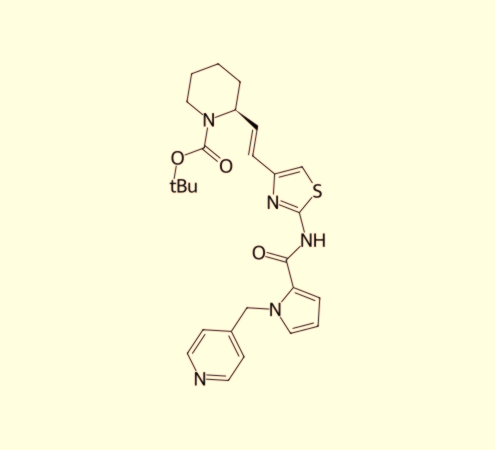 CC(C)(C)OC(=O)N1CCCC[C@H]1C=Cc1csc(NC(=O)c2cccn2Cc2ccncc2)n1